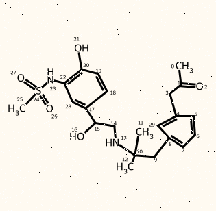 CC(=O)Cc1cccc(CC(C)(C)NCC(O)c2ccc(O)c(NS(C)(=O)=O)c2)c1